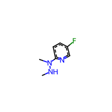 CNN(C)c1ccc(F)cn1